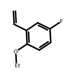 C=[C]c1cc(F)ccc1OCC